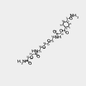 NOCc1ccc(C(=O)OCC(=O)NCCOCCOCCNC(=O)COCC(N)=O)cc1